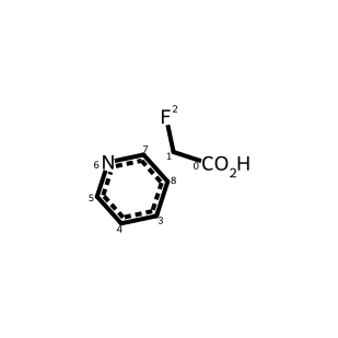 O=C(O)CF.c1ccncc1